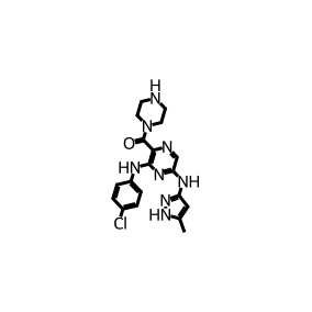 Cc1cc(Nc2cnc(C(=O)N3CCNCC3)c(Nc3ccc(Cl)cc3)n2)n[nH]1